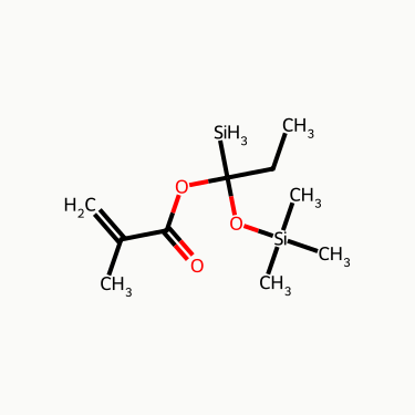 C=C(C)C(=O)OC([SiH3])(CC)O[Si](C)(C)C